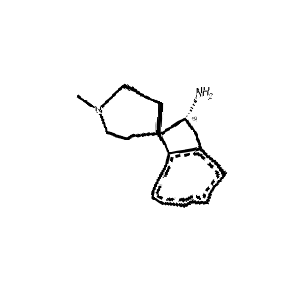 CN1CCC2(CC1)c1ccccc1[C@H]2N